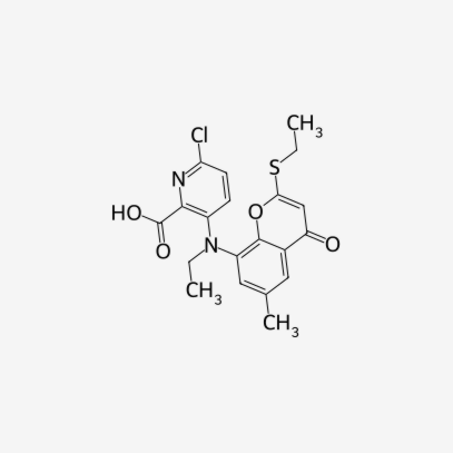 CCSc1cc(=O)c2cc(C)cc(N(CC)c3ccc(Cl)nc3C(=O)O)c2o1